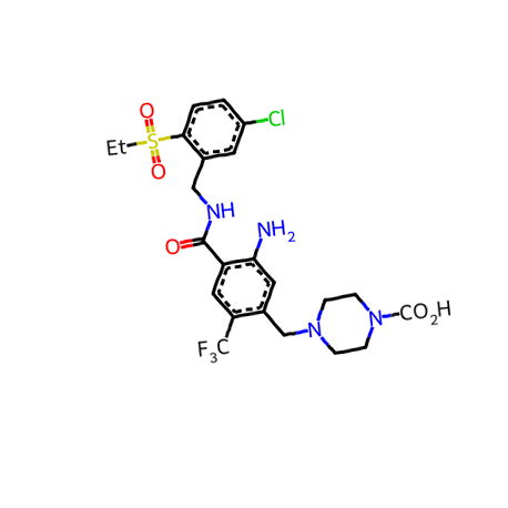 CCS(=O)(=O)c1ccc(Cl)cc1CNC(=O)c1cc(C(F)(F)F)c(CN2CCN(C(=O)O)CC2)cc1N